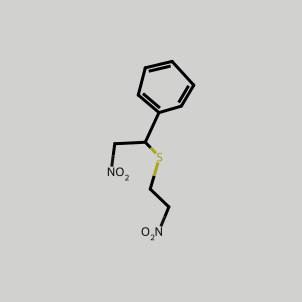 O=[N+]([O-])CCSC(C[N+](=O)[O-])c1ccccc1